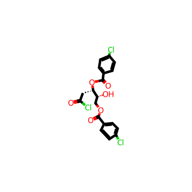 O=C(Cl)C[C@H](OC(=O)c1ccc(Cl)cc1)[C@H](O)COC(=O)c1ccc(Cl)cc1